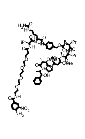 CC[C@H](C)[C@@H]([C@@H](CC(=O)N1CCC[C@H]1[C@H](OC)[C@@H](C)C(=O)N[C@H](C)[C@@H](O)c1ccccc1)OC)N(C)C(=O)[C@@H](NC(=O)[C@H](C(C)C)N(C)C(=O)OCc1ccc(NC(=O)[C@H](CCCNC(N)=O)NC(=O)[C@@H](NC(=O)CCOCCOCCOCCOCCNC(=O)c2ccc(N)c([N+](=O)[O-])c2)C(C)C)cc1)C(C)C